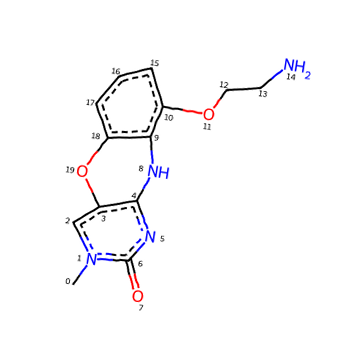 Cn1cc2c(nc1=O)Nc1c(OCCN)cccc1O2